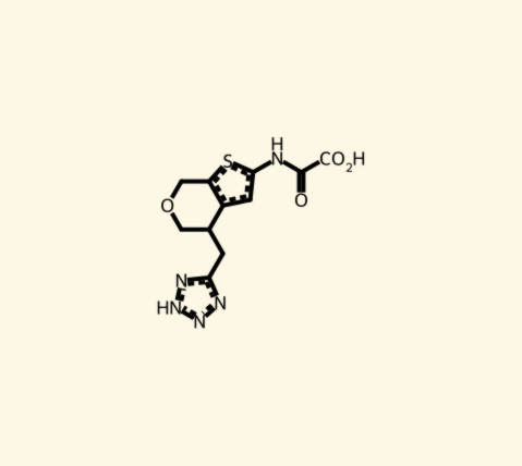 O=C(O)C(=O)Nc1cc2c(s1)COCC2Cc1nn[nH]n1